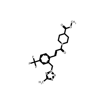 COC(=O)C1CCN(C(=O)/C=C/c2ccc(C(F)(F)F)cc2Cn2nnc(C)n2)CC1